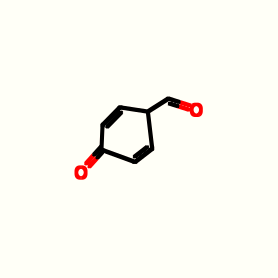 O=CC1C=CC(=O)C=C1